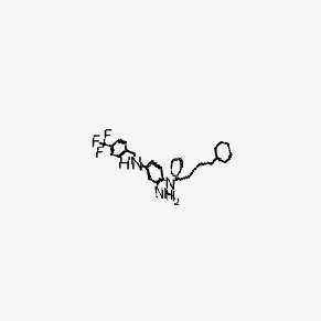 Nc1cc(NCc2ccc(C(F)(F)F)cc2)ccc1NC(=O)CCCC1CCCCC1